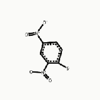 O=[N+]([O-])c1ccc([S])c([N+](=O)[O-])c1